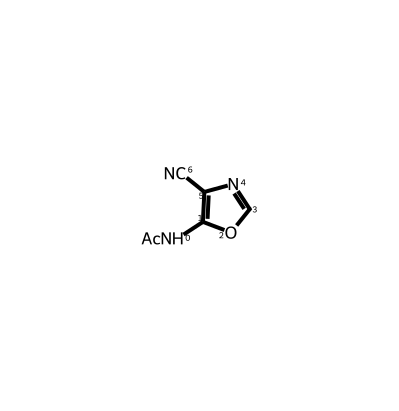 CC(=O)Nc1ocnc1C#N